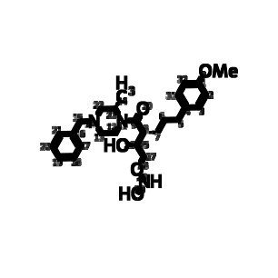 COc1ccc(CCC[C@@H](C(=O)N2CCN(Cc3ccccc3)C[C@@H]2C)[C@H](O)CONO)cc1